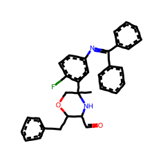 CC1(c2cc(N=C(c3ccccc3)c3ccccc3)ccc2F)COC(Cc2ccccc2)C(C=O)N1